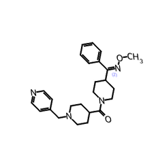 CO/N=C(\c1ccccc1)C1CCN(C(=O)C2CCN(Cc3ccncc3)CC2)CC1